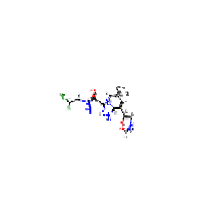 O=C(NCC(F)F)c1nnc2c(-c3cnco3)cc(C(F)(F)F)cn12